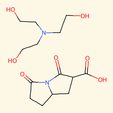 O=C(O)C1CC2CCC(=O)N2C1=O.OCCN(CCO)CCO